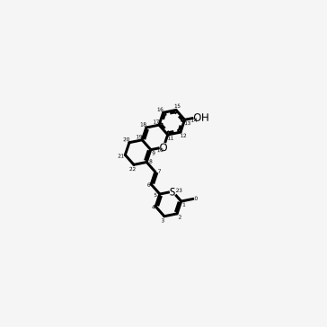 CC1=CCC=C(C=CC2=C3Oc4cc(O)ccc4C=C3CCC2)S1